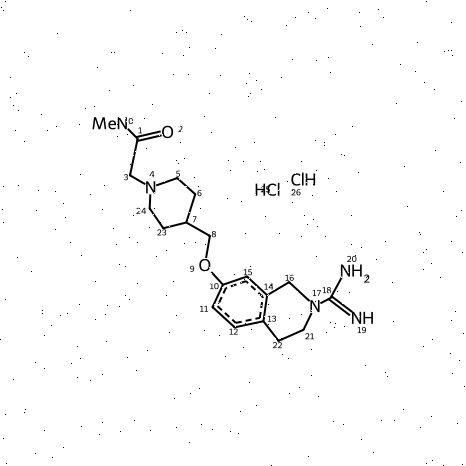 CNC(=O)CN1CCC(COc2ccc3c(c2)CN(C(=N)N)CC3)CC1.Cl.Cl